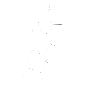 CCc1[nH]n(C(C)c2ccc(Cl)c(Cl)c2)c(=O)c1C